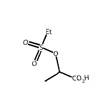 CCS(=O)(=O)OC(C)C(=O)O